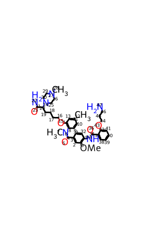 COc1cc(C(=O)N(C)c2ccc(C)cc2OCCCCC(C(N)=O)N2CCN(C)CC2)ccc1NC(=O)c1ccccc1OCCCN